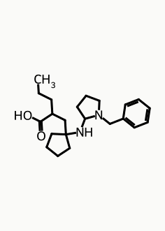 CCCC(CC1(NC2CCCN2Cc2ccccc2)CCCC1)C(=O)O